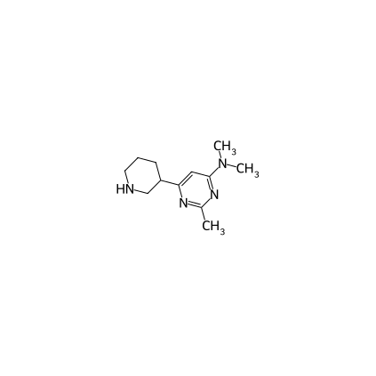 Cc1nc(C2CCCNC2)cc(N(C)C)n1